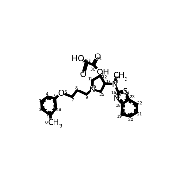 Cc1cccc(OCCCN2CCC(N(C)c3nc4ccccc4s3)C2)c1.O=C(O)C(=O)O